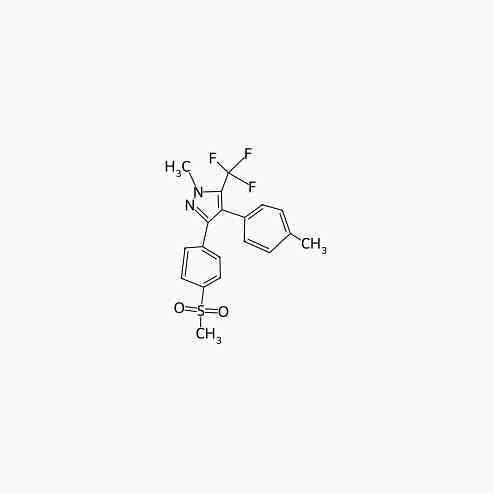 Cc1ccc(-c2c(-c3ccc(S(C)(=O)=O)cc3)nn(C)c2C(F)(F)F)cc1